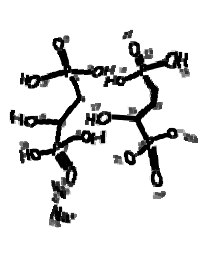 O=P(O)(O)CC(O)P(=O)(O)O.O=P(O)(O)CC(O)P(=O)([O-])[O-].[Na+].[Na+]